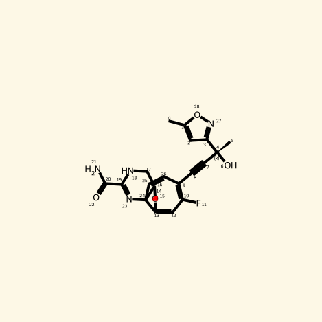 Cc1cc([C@](C)(O)C#CC2=C(F)C=C3OCC4CNC(C(N)=O)=NC34C=C2)no1